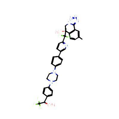 Cc1ccc2c(c1)-c1nnnn1C[C@@]2(O)C(F)(F)c1ccc(-c2ccc(N3CCN(c4ccc(C(O)C(F)(F)F)cc4)CC3)cc2)cn1